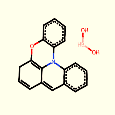 C1=CC2=Cc3ccccc3N3C2=C(C1)Oc1ccccc13.OBO